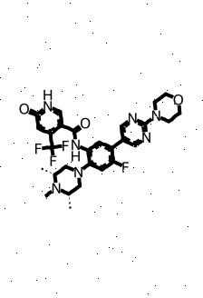 C[C@@H]1CN(c2cc(F)c(-c3cnc(N4CCOCC4)nc3)cc2NC(=O)c2c[nH]c(=O)cc2C(F)(F)F)C[C@H](C)N1C